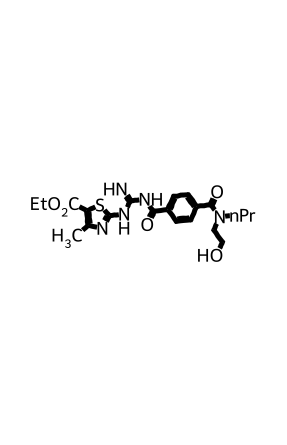 CCCN(CCO)C(=O)c1ccc(C(=O)NC(=N)Nc2nc(C)c(C(=O)OCC)s2)cc1